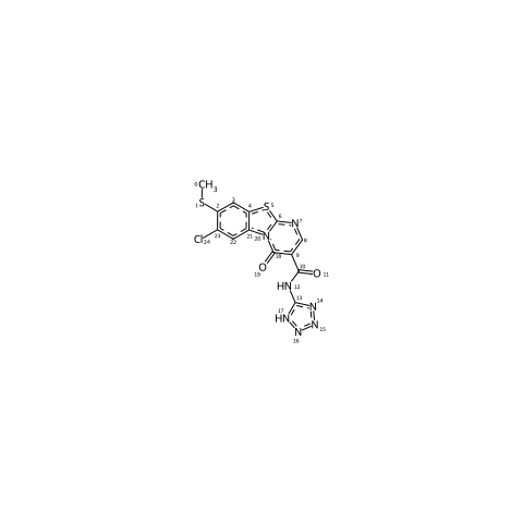 CSc1cc2sc3ncc(C(=O)Nc4nnn[nH]4)c(=O)n3c2cc1Cl